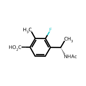 CC(=O)N[C@@H](C)c1ccc(C(=O)O)c(C)c1F